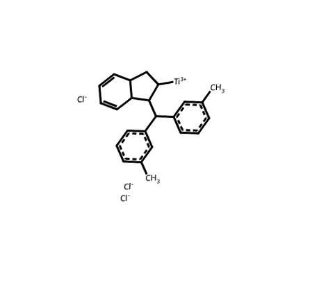 Cc1cccc(C(c2cccc(C)c2)C2[CH]([Ti+3])CC3C=CC=CC32)c1.[Cl-].[Cl-].[Cl-]